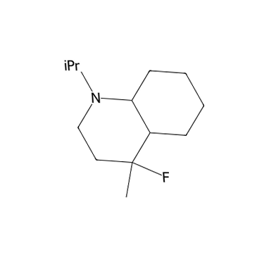 CC(C)N1CCC(C)(F)C2CCCCC21